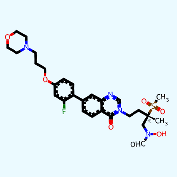 C[C@](CCn1cnc2cc(-c3ccc(OCCCN4CCOCC4)cc3F)ccc2c1=O)(CN(O)C=O)S(C)(=O)=O